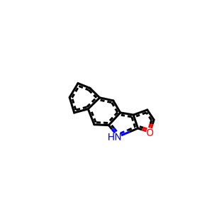 c1ccc2cc3c(cc2c1)[nH]c1occc13